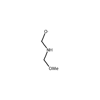 COCNC[O]